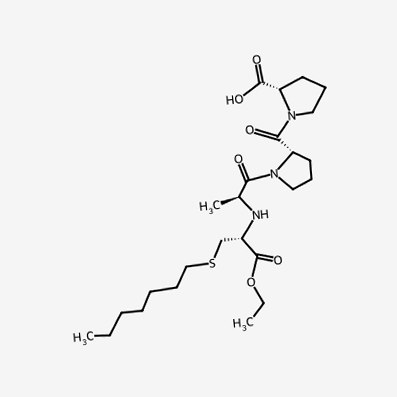 CCCCCCCSC[C@H](N[C@@H](C)C(=O)N1CCC[C@H]1C(=O)N1CCC[C@H]1C(=O)O)C(=O)OCC